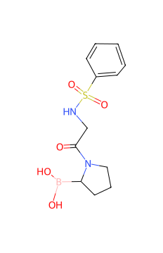 O=C(CNS(=O)(=O)c1ccccc1)N1CCCC1B(O)O